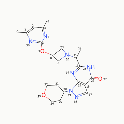 Cc1cc(C)nc(OC2CN(C(C)c3nc4c(cnn4C4CCOCC4)c(=O)[nH]3)C2)n1